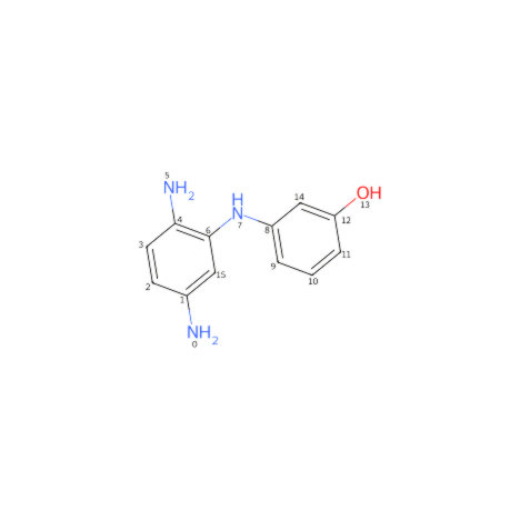 Nc1ccc(N)c(Nc2cccc(O)c2)c1